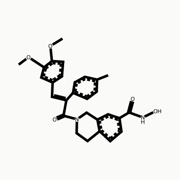 COc1ccc(C=C(C(=O)N2CCc3ccc(C(=O)NO)cc3C2)c2ccc(C)cc2)cc1OC